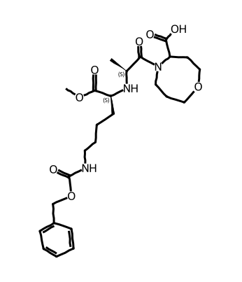 COC(=O)[C@H](CCCCNC(=O)OCc1ccccc1)N[C@@H](C)C(=O)N1CCCOCCC1C(=O)O